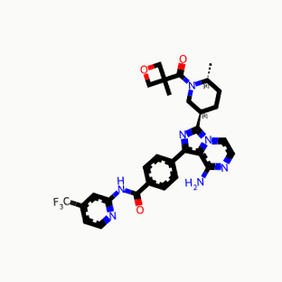 C[C@@H]1CC[C@@H](c2nc(-c3ccc(C(=O)Nc4cc(C(F)(F)F)ccn4)cc3)c3c(N)nccn23)CN1C(=O)C1(C)COC1